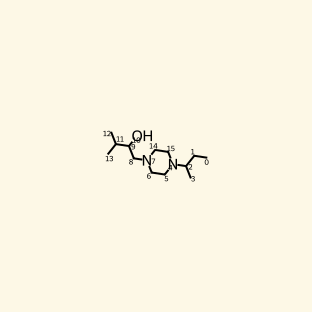 CCC(C)N1CCN(CC(O)C(C)C)CC1